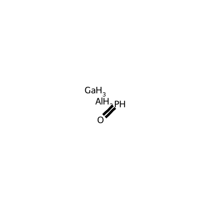 O=P.[AlH3].[GaH3]